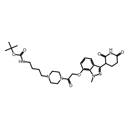 Cn1nc(C2CCC(=O)NC2=O)c2cccc(OCC(=O)N3CCN(CCCCNC(=O)OC(C)(C)C)CC3)c21